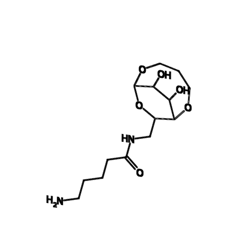 NCCCCC(=O)NCC1OC2OCCCOC1C(O)C2O